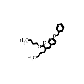 CCCCOC(=O)C(=Cc1ccc(OCc2ccccc2)cc1)CCCC